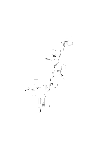 C=CC(=O)NCCCN(CCNC(=O)C=C)C(=O)CCCN(CCN(CCCNC(=O)CCC)C(=O)C=C)C(=O)C=C